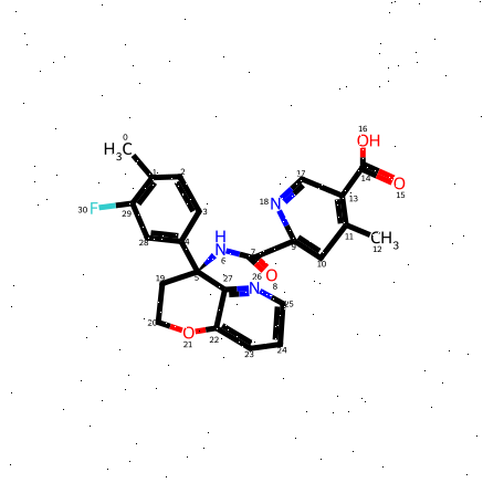 Cc1ccc([C@@]2(NC(=O)c3cc(C)c(C(=O)O)cn3)CCOc3cccnc32)cc1F